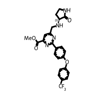 COC(=O)c1cc(CN[C@H]2CCNC2=O)nc(-c2ccc(Oc3ccc(C(F)(F)F)cc3)cc2)n1